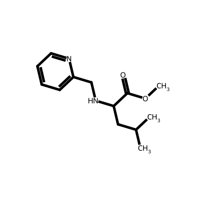 COC(=O)C(CC(C)C)NCc1ccccn1